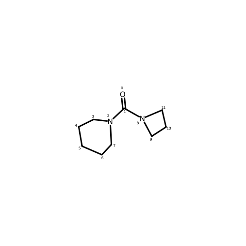 O=C(N1CCCCC1)N1CCC1